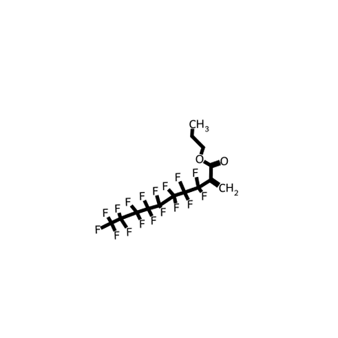 C=C(C(=O)OCCC)C(F)(F)C(F)(F)C(F)(F)C(F)(F)C(F)(F)C(F)(F)C(F)(F)C(F)(F)F